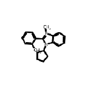 Cc1ccccc1-c1n(C2CCCC2)c2ccccc2[n+]1C